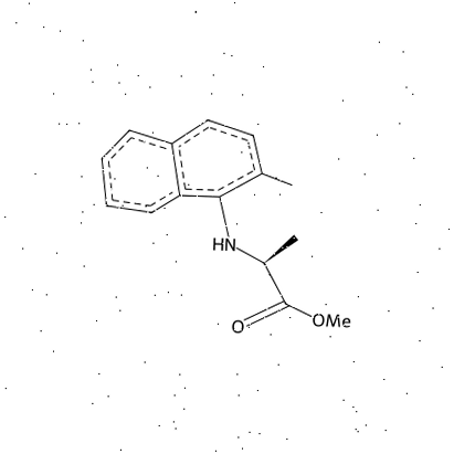 COC(=O)[C@H](C)Nc1c(C)ccc2ccccc12